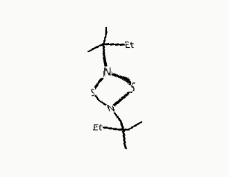 CCC(C)(C)N1SN(C(C)(C)CC)S1